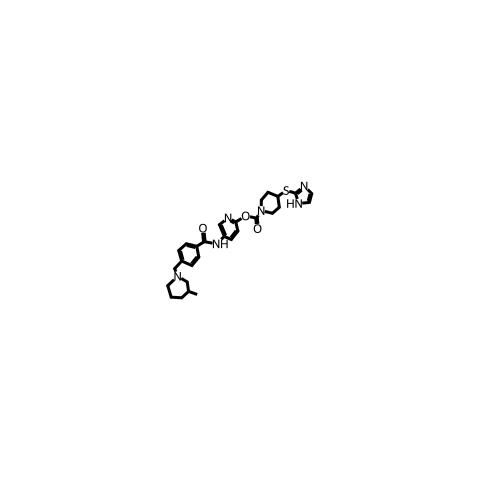 CC1CCCN(Cc2ccc(C(=O)Nc3ccc(OC(=O)N4CCC(Sc5ncc[nH]5)CC4)nc3)cc2)C1